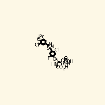 CC(C)Oc1ccc(-c2nnc(-c3cc(F)c(OC[C@@H](NC(=O)O)[C@H](C)OP(=O)(O)O)cc3Cl)s2)cc1Cl